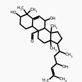 CC(C)=CC(O)CC(C)C1CCC2(C)C3C(O)C=C4C(CCC(O)C4(C)C)C3(C=O)CCC12C